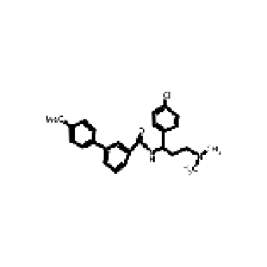 COc1ccc(-c2cccc(C(=O)NC(CCN(C)C)c3ccc(Cl)cc3)c2)cc1